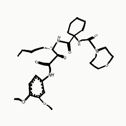 CCCC[C@H](NC(=O)C1(NC(=O)N2CCOCC2)CCCCC1)C(=O)C(=O)Nc1ccc(OC)c(OC)c1